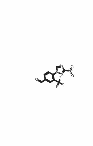 O=Cc1ccc(-n2cnc([N+](=O)[O-])n2)c(C(F)(F)F)c1